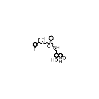 O=C(CCNCC(F)c1cccc(F)c1)N(CCNCCc1ccc(O)c2[nH]c(=O)ccc12)C1CCCCC1